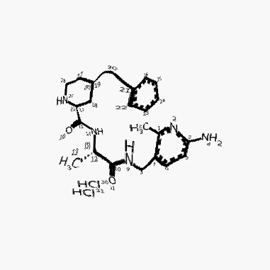 Cc1nc(N)ccc1CNC(=O)[C@H](C)NC(=O)[C@@H]1C[C@H](Cc2ccccc2)CCN1.Cl.Cl